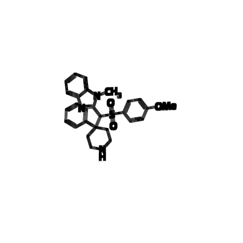 COc1ccc(S(=O)(=O)C(c2nc3ccccc3n2C)C2(c3ccccc3)CCNCC2)cc1